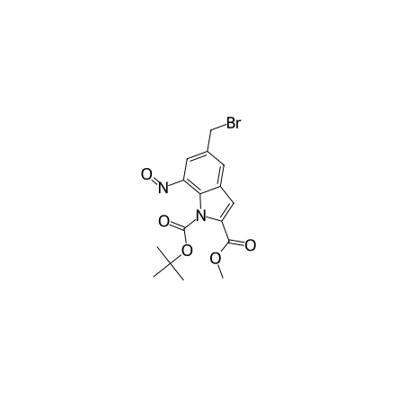 COC(=O)c1cc2cc(CBr)cc(N=O)c2n1C(=O)OC(C)(C)C